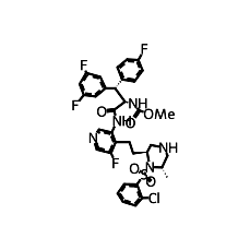 COC(=O)N[C@H](C(=O)Nc1cncc(F)c1CC[C@H]1CNC[C@H](C)N1S(=O)(=O)c1ccccc1Cl)[C@@H](c1ccc(F)cc1)c1cc(F)cc(F)c1